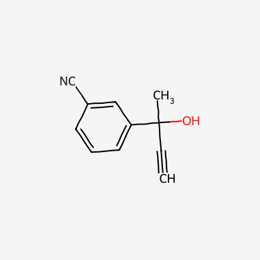 C#CC(C)(O)c1cccc(C#N)c1